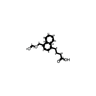 O=COCc1ccc(CCCC(=O)O)c2ccccc12